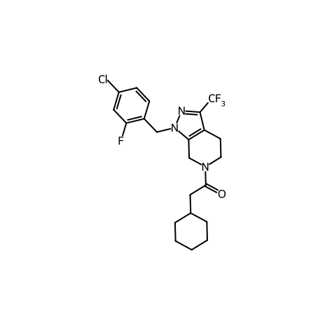 O=C(CC1CCCCC1)N1CCc2c(C(F)(F)F)nn(Cc3ccc(Cl)cc3F)c2C1